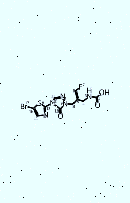 O=C(O)NCC(=CF)Cn1ncn(-c2ncc(Br)s2)c1=O